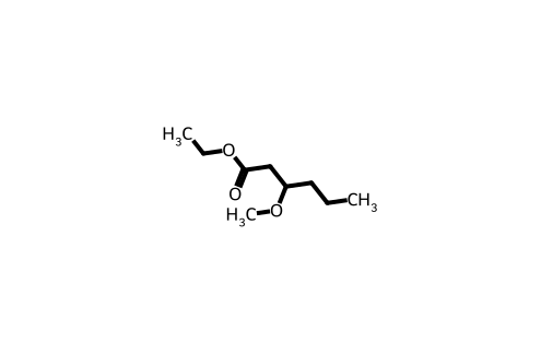 CCCC(CC(=O)OCC)OC